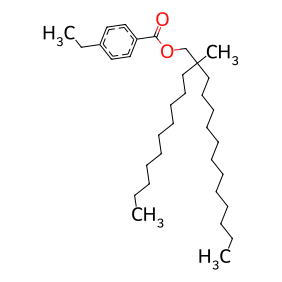 CCCCCCCCCCCCC(C)(CCCCCCCCCC)COC(=O)c1ccc(CC)cc1